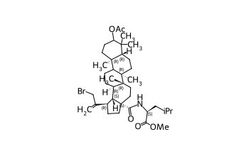 C=C(CBr)[C@@H]1CC[C@]2(C(=O)N[C@@H](CC(C)C)C(=O)OC)CC[C@]3(C)[C@H](CCC4[C@@]5(C)CCC(OC(C)=O)C(C)(C)[C@@H]5CC[C@]43C)[C@@H]12